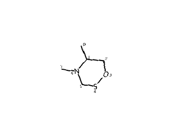 CC1COSCN1C